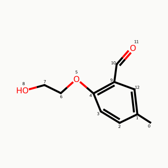 Cc1ccc(OCCO)c(C=O)c1